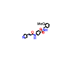 COc1ccccc1CNS(=O)(=O)c1ccc(NC(=O)/C=C/c2ccncc2)cc1